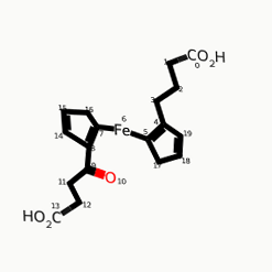 O=C(O)CCCC1=[C]([Fe][C]2=C(C(=O)CCC(=O)O)C=CC2)CC=C1